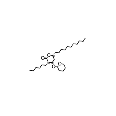 CCCCCCCCCCC[C@@H]1C[C@H](OC2CCCCO2)[C@H](CCCCCC)C(=O)O1